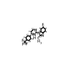 Cc1nc2ccc(F)cc2n1C1=NC=CN(c2ccc(C(F)(F)F)cc2)N1